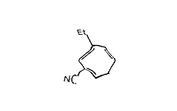 CCC1=CC(C#N)=CCC=C1